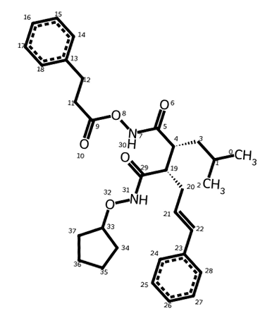 CC(C)C[C@@H](C(=O)NOC(=O)CCc1ccccc1)[C@H](CC=Cc1ccccc1)C(=O)NOC1CCCC1